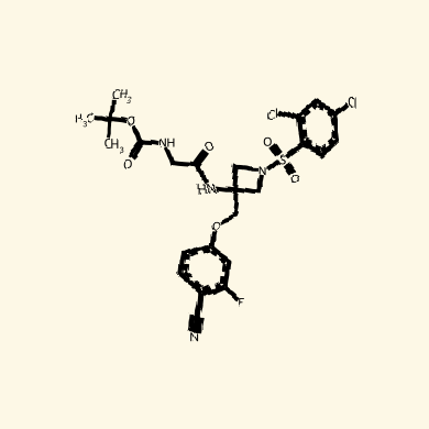 CC(C)(C)OC(=O)NCC(=O)NC1(COc2ccc(C#N)c(F)c2)CN(S(=O)(=O)c2ccc(Cl)cc2Cl)C1